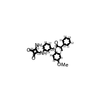 COc1ccc(N(C(=O)C(C)c2ccccc2)c2cccc(Nc3c(N)c(=O)c3=O)c2)cc1